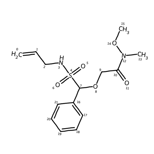 C=CCNS(=O)(=O)C(OCC(=O)N(C)OC)c1ccccc1